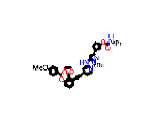 COc1ccc(COc2cccc(C#Cc3ccnc(Nc4cc([C@H]5CC[C@@H](OC(=O)NC(C)C)C5)nn4C(C)(C)C)c3)c2C2OCCO2)cc1